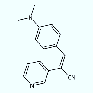 CN(C)c1ccc(C=C(C#N)c2cccnc2)cc1